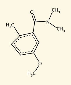 COc1ccc(C)c(C(=O)N(C)C)c1